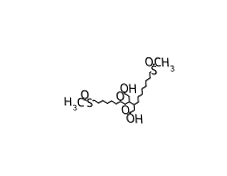 CC(=O)SCCCCCCCCC(CC(=O)O)C(CCCCCCCCSC(C)=O)CC(=O)O